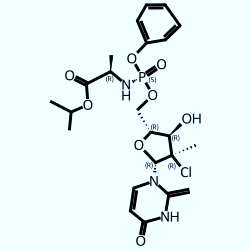 C=C1NC(=O)C=CN1[C@@H]1O[C@H](CO[P@@](=O)(N[C@H](C)C(=O)OC(C)C)Oc2ccccc2)[C@@H](O)[C@@]1(C)Cl